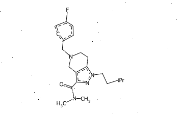 CC(C)CCn1nc(C(=O)N(C)C)c2c1CCN(Cc1ccc(F)cc1)C2